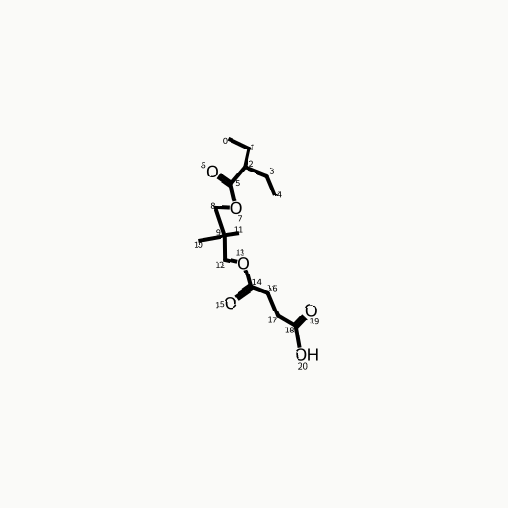 CCC(CC)C(=O)OCC(C)(C)COC(=O)CCC(=O)O